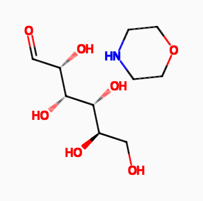 C1COCCN1.O=C[C@H](O)[C@@H](O)[C@H](O)[C@H](O)CO